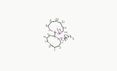 C1CCCCC(C2CCCCCCCP2)CCC1.CCC